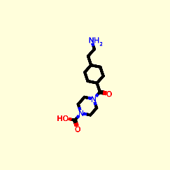 NCCC1CCC(C(=O)N2CCN(C(=O)O)CC2)CC1